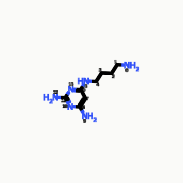 NCCCCNc1cc(N)nc(N)n1